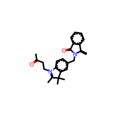 C=C1c2ccccc2C(=O)N1Cc1ccc2c(c1)C(C)(C)C(C)=[N+]2CCC(C)=O